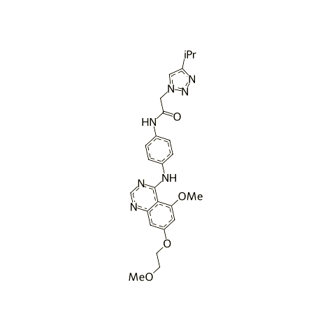 COCCOc1cc(OC)c2c(Nc3ccc(NC(=O)Cn4cc(C(C)C)nn4)cc3)ncnc2c1